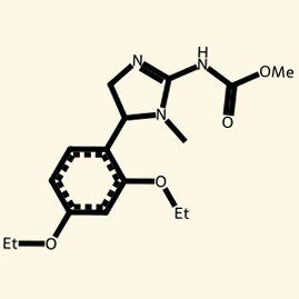 CCOc1ccc(C2CN=C(NC(=O)OC)N2C)c(OCC)c1